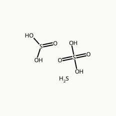 O=S(=O)(O)O.O=S(O)O.S